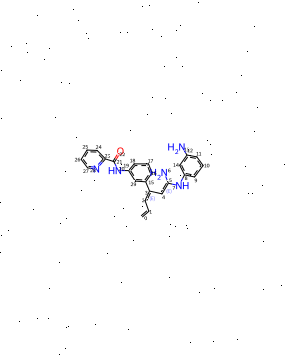 C=C/C=C(\C=C(/N)Nc1cccc(N)c1)c1cccc(NC(=O)c2ccccn2)c1